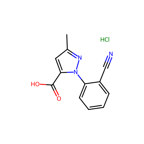 Cc1cc(C(=O)O)n(-c2ccccc2C#N)n1.Cl